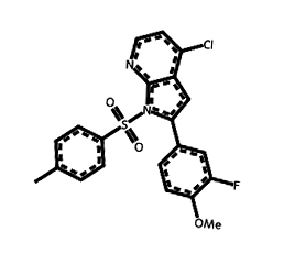 COc1ccc(-c2cc3c(Cl)ccnc3n2S(=O)(=O)c2ccc(C)cc2)cc1F